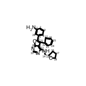 Nc1cccc(-c2oc3ncnc(NC[C@@H]4CCCO4)c3c2-c2ccccc2)c1